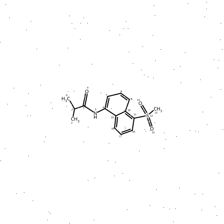 CC(C)C(=O)Nc1cccc2c(S(C)(=O)=O)cccc12